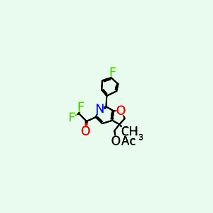 CC(=O)OCC1(C)COc2c1cc(C(=O)C(F)F)nc2-c1ccc(F)cc1